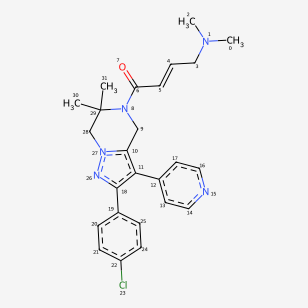 CN(C)CC=CC(=O)N1Cc2c(-c3ccncc3)c(-c3ccc(Cl)cc3)nn2CC1(C)C